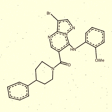 COc1ccccc1Nc1c(C(=O)N2CCC(c3ccccc3)CC2)cnc2c(Br)cnn12